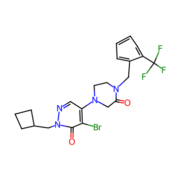 O=C1CN(c2cnn(CC3CCC3)c(=O)c2Br)CCN1Cc1ccccc1C(F)(F)F